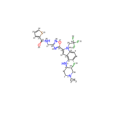 CN1CC[C@@H](Nc2cccc3c2cc(-c2nc(CNC(=O)c4cccs4)no2)n3CC(F)(F)F)[C@@H](F)C1